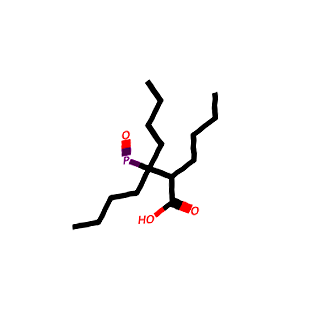 CCCCC(C(=O)O)C(CCCC)(CCCC)P=O